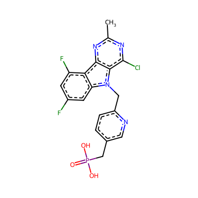 Cc1nc(Cl)c2c(n1)c1c(F)cc(F)cc1n2Cc1ccc(CP(=O)(O)O)cn1